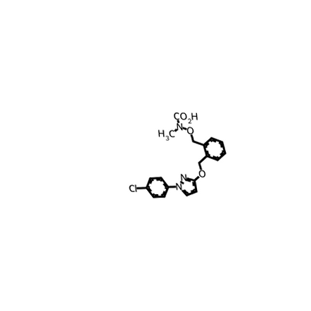 CN(OCc1ccccc1COc1ccn(-c2ccc(Cl)cc2)n1)C(=O)O